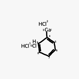 Cl.Cl.Cl.[Ga][c]1ccccc1